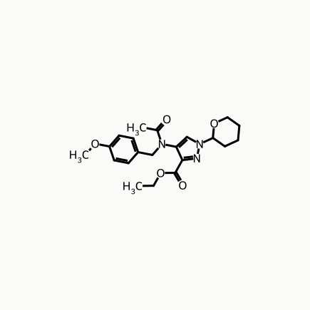 CCOC(=O)c1nn(C2CCCCO2)cc1N(Cc1ccc(OC)cc1)C(C)=O